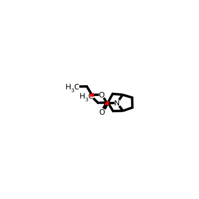 CCCOC(=O)N1C2CCC1CC(CC)C2